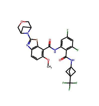 COc1ccc2nc(N3C4COCC3C4)sc2c1C(=O)Nc1cc(F)cc(F)c1C(=O)NC12CC(C(F)(F)F)(C1)C2